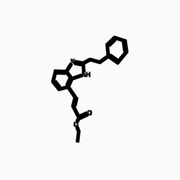 CCOC(=O)C=Cc1cccc2nc(CCc3ccccc3)[nH]c12